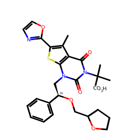 Cc1c(-c2ncco2)sc2c1c(=O)n(C(C)(C)C(=O)O)c(=O)n2C[C@@H](OCC1CCCO1)c1ccccc1